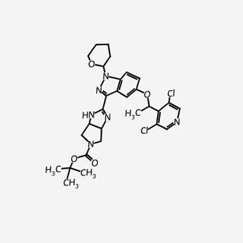 CC(Oc1ccc2c(c1)c(C1=NC3CN(C(=O)OC(C)(C)C)CC3N1)nn2C1CCCCO1)c1c(Cl)cncc1Cl